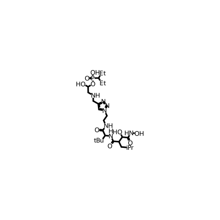 CCC(CC)P(=O)(O)OC(O)CNCc1cn(CCNC(=O)C(NC(=O)C(CC(C)C)C(O)C(=O)NO)C(C)(C)C)nn1